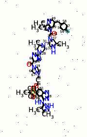 Cc1n[nH]c(Nc2ncnc3cc(OCCCN4CCN(C(=O)c5cnc(N6CCN(C[C@H]7CN[C@H](C)CN7CC(=O)N7CC(C)(C)c8ncc(Cc9ccc(F)cc9)cc87)[C@H](C)C6)nc5)CC4)c(S(=O)(=O)C(C)(C)C)cc23)c1C